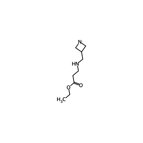 CCOC(=O)CCNCC1C[N]C1